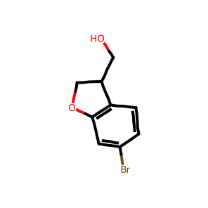 OCC1COc2cc(Br)ccc21